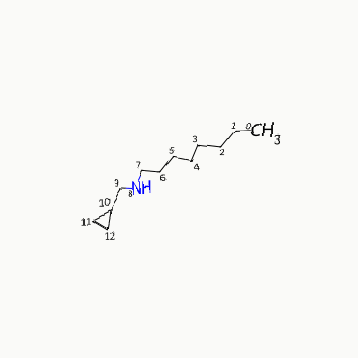 CCCCCCCCNCC1CC1